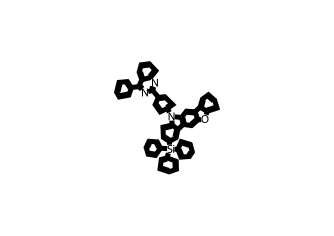 c1ccc(-c2nc(-c3ccc(-n4c5ccc([Si](c6ccccc6)(c6ccccc6)c6ccccc6)cc5c5cc6oc7ccccc7c6cc54)cc3)nc3ccccc23)cc1